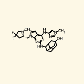 CN1CC(F)(F)C[C@H]1Cn1ccc2c(Nc3cn(C)cn3)nc(NC3C4CC5CC3CC(O)(C5)C4)nc21